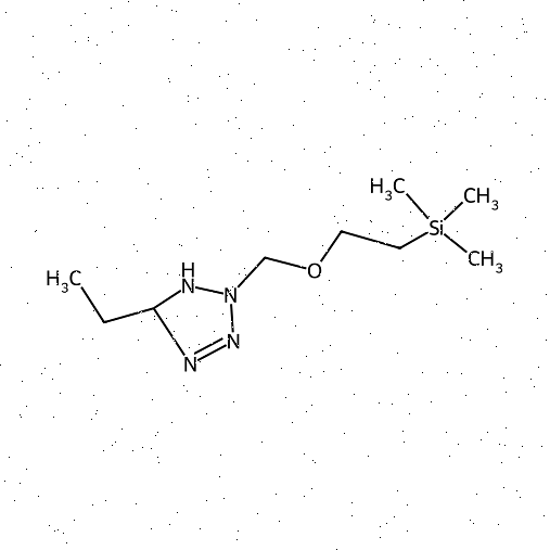 CCC1N=NN(COCC[Si](C)(C)C)N1